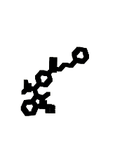 CCn1c(C)c(C(c2ccc(NCCCc3ccccc3)cc2)N(C)C)c2ccccc21